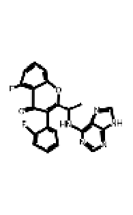 CC(Nc1ncnc2[nH]cnc12)c1oc2cccc(F)c2c(=O)c1-c1ccccc1F